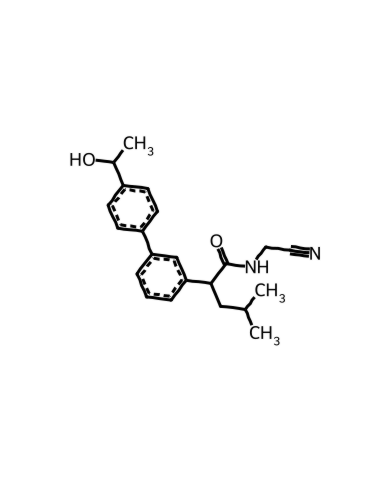 CC(C)CC(C(=O)NCC#N)c1cccc(-c2ccc(C(C)O)cc2)c1